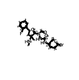 CNC(C)(CCc1ccccc1F)C(=O)N(C=O)NC(=O)Nc1ccc(Br)cc1